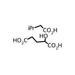 CC(C)CC(=O)O.O=C(O)CCC(O)C(=O)O